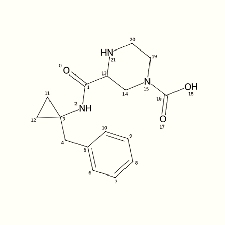 O=C(NC1(Cc2ccccc2)CC1)C1CN(C(=O)O)CCN1